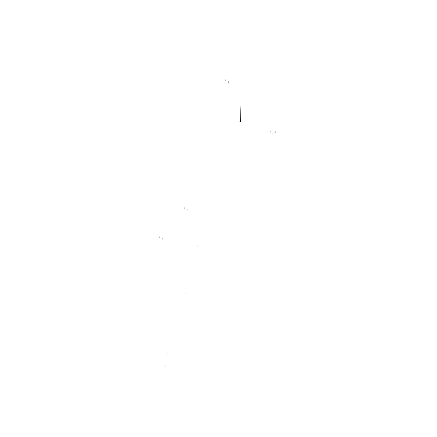 COC[C@@H]1CCCN1Cc1ccc(CCn2cnc3cc(-c4ccc(Cl)cc4)ccc3c2=O)cc1